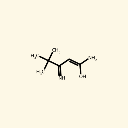 CC(C)(C)C(=N)/C=C(/N)O